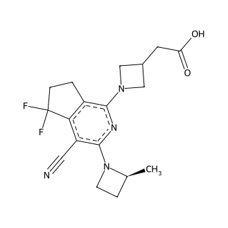 C[C@H]1CCN1c1nc(N2CC(CC(=O)O)C2)c2c(c1C#N)C(F)(F)CC2